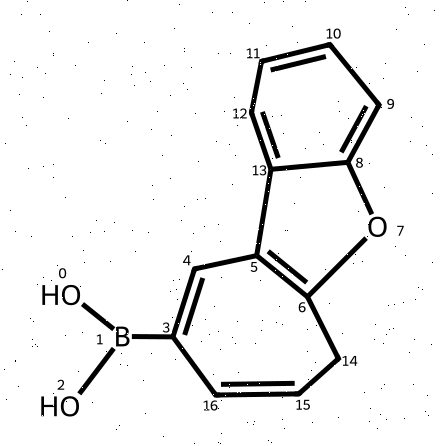 OB(O)C1=Cc2c(oc3ccccc23)CC=C1